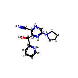 N#Cc1ncc(N2CCCC2)nc1C(=O)c1ccccn1